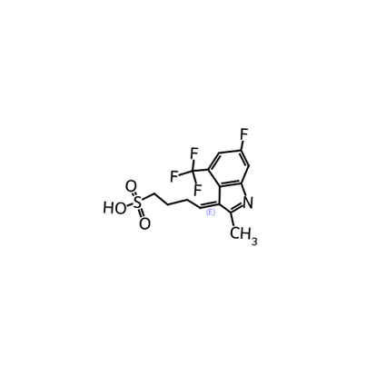 CC1=Nc2cc(F)cc(C(F)(F)F)c2/C1=C\CCCS(=O)(=O)O